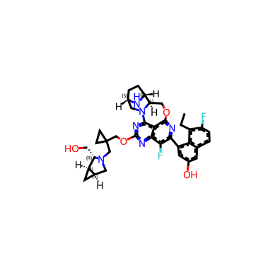 CCc1c(F)ccc2cc(O)cc(-c3nc4c5c(nc(OCC6(CN7C[C@H]8C[C@H]8[C@@H]7CO)CC6)nc5c3F)N3C[C@@H]5CC[C@@H](N5)[C@H]3CO4)c12